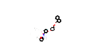 COc1cc(F)c(O[C@H]2CC[C@@](C)(C(=O)OCc3cccc4ccccc34)CC2)cc1C(=O)N[C@H]1[C@@H](C(=O)O)[C@@H]2C=C[C@H]1C2